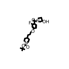 CC(C)(C)OC(=O)N1CCC(CCCOc2ccc(C(=O)N3CC[C@@H](O)C3)c(F)c2)CC1